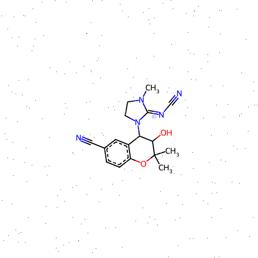 CN1CCN(C2c3cc(C#N)ccc3OC(C)(C)C2O)/C1=N/C#N